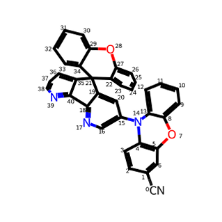 N#Cc1ccc2c(c1)Oc1ccccc1N2c1cnc2c(c1)C1(c3ccccc3Oc3ccccc31)c1cccnc1-2